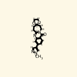 Cn1cc(-c2ccc3c(=O)n4c(nc3c2)CCC2(CC4)OCCO2)cn1